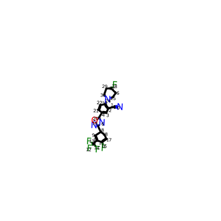 N#Cc1cc(-c2nc(C3C=C(C(F)(F)F)C(F)=CC3)no2)ccc1N1CCC(F)CC1